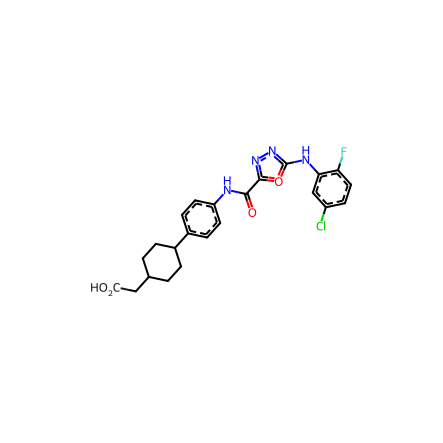 O=C(O)CC1CCC(c2ccc(NC(=O)c3nnc(Nc4cc(Cl)ccc4F)o3)cc2)CC1